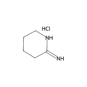 Cl.N=C1CCCCN1